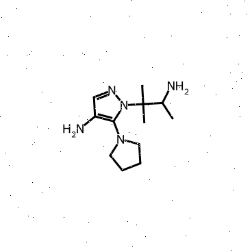 CC(N)C(C)(C)n1ncc(N)c1N1CCCC1